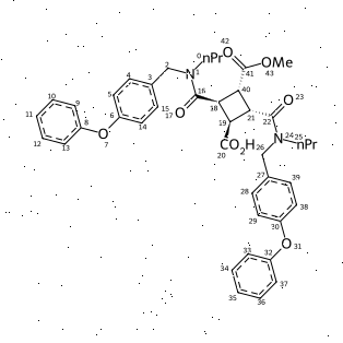 CCCN(Cc1ccc(Oc2ccccc2)cc1)C(=O)[C@@H]1[C@H](C(=O)O)[C@@H](C(=O)N(CCC)Cc2ccc(Oc3ccccc3)cc2)[C@H]1C(=O)OC